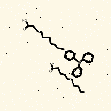 CCCCCCCCCC(=O)O.CCCCCCCCCC(=O)O.c1cc[c]([Bi]([c]2ccccc2)[c]2ccccc2)cc1